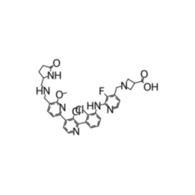 COc1nc(-c2ccnc(-c3cccc(Nc4nccc(CN5CC(C(=O)O)C5)c4F)c3Cl)c2Cl)ccc1CNCC1CCC(=O)N1